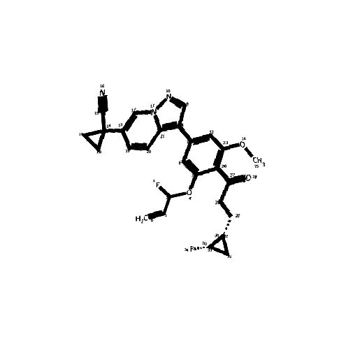 C=CC(F)Oc1cc(-c2cnn3cc(C4(C#N)CC4)ccc23)cc(OC)c1C(=O)CC[C@@H]1C[C@@H]1F